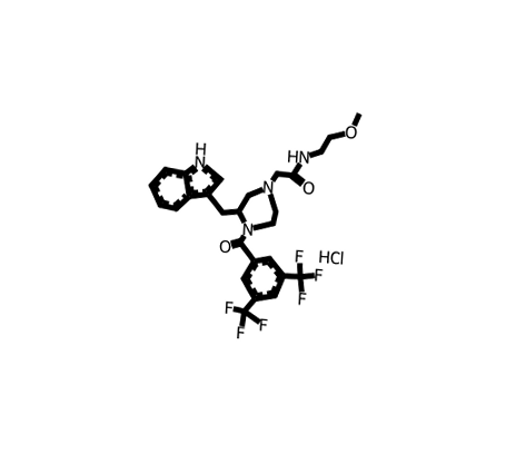 COCCNC(=O)CN1CCN(C(=O)c2cc(C(F)(F)F)cc(C(F)(F)F)c2)C(Cc2c[nH]c3ccccc23)C1.Cl